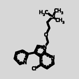 C[Si](C)(C)CCOCn1cc(-c2ccccn2)c2c(Cl)ccnc21